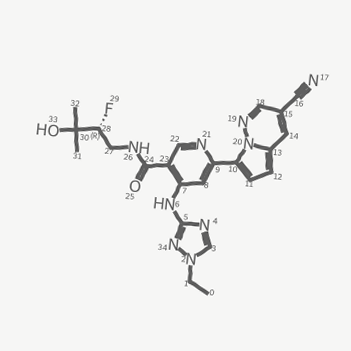 CCn1cnc(Nc2cc(-c3ccc4cc(C#N)cnn34)ncc2C(=O)NC[C@@H](F)C(C)(C)O)n1